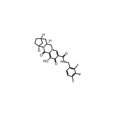 O=C(NCc1ccc(F)c(F)c1F)c1cn2c(c(O)c1=O)C(=O)N1[C@@H]3CC[C@@H](C3)C[C@H]1C2